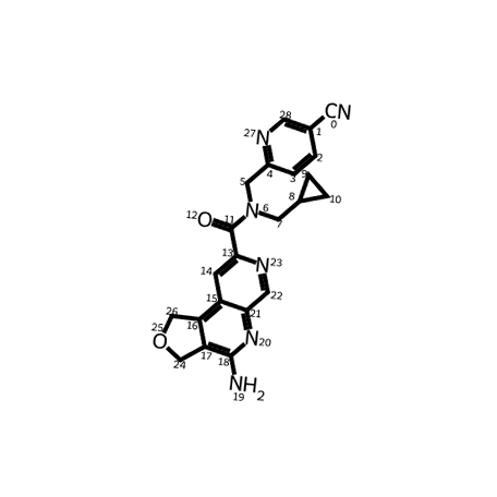 N#Cc1ccc(CN(CC2CC2)C(=O)c2cc3c4c(c(N)nc3cn2)COC4)nc1